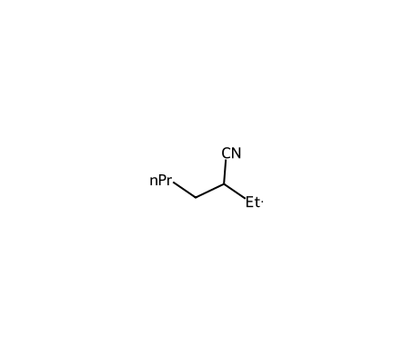 C[CH]C(C#N)CCCC